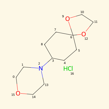 C1CN(C2CCC3(CC2)OCCO3)CCO1.Cl